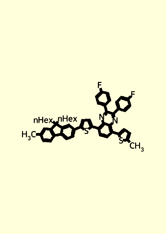 CCCCCCC1(CCCCCC)c2cc(C)ccc2-c2ccc(-c3ccc(-c4ccc(-c5ccc(C)s5)c5nc(-c6ccc(F)cc6)c(-c6ccc(F)cc6)nc45)s3)cc21